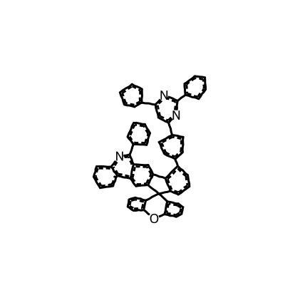 c1ccc(-c2cc(-c3ccc(-c4cccc5c4-c4cc6c(-c7ccccc7)nc7ccccc7c6cc4C54c5ccccc5Oc5ccccc54)cc3)nc(-c3ccccc3)n2)cc1